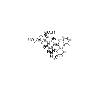 Cc1ccccc1-n1nnc(C(=O)N(CC(C)C)[C@H]2C[C@@H](C(=O)O)CN(C(=O)O)C2)c1COCc1ccccc1